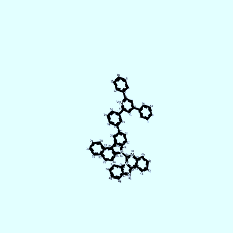 c1ccc(-c2cc(-c3ccccc3)nc(-c3cccc(-c4ccc5c(c4)c4c6ccccc6ccc4n5-c4nc5ccccc5c5nc6ccccc6n45)c3)c2)cc1